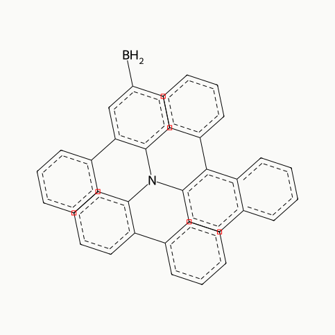 Bc1ccc(N(c2ccccc2-c2ccccc2)c2ccc3ccccc3c2-c2ccccc2)c(-c2ccccc2)c1